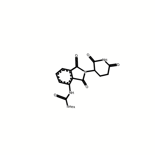 CCCCCCC(=O)Nc1cccc2c1C(=O)N(C1CCC(=O)NC1=O)C2=O